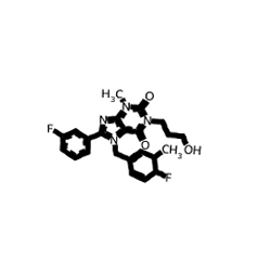 CC1C=C(Cn2c(-c3cccc(F)c3)nc3c2c(=O)n(CCCO)c(=O)n3C)C=CC1F